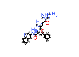 NCCN(CN)C(=O)CC[C@H](N)C(=O)N[C@H](CCc1ccccc1)C(=O)Nc1cnc2ccccc2c1